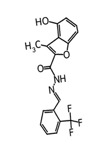 Cc1c(C(=O)NN=Cc2ccccc2C(F)(F)F)oc2cccc(O)c12